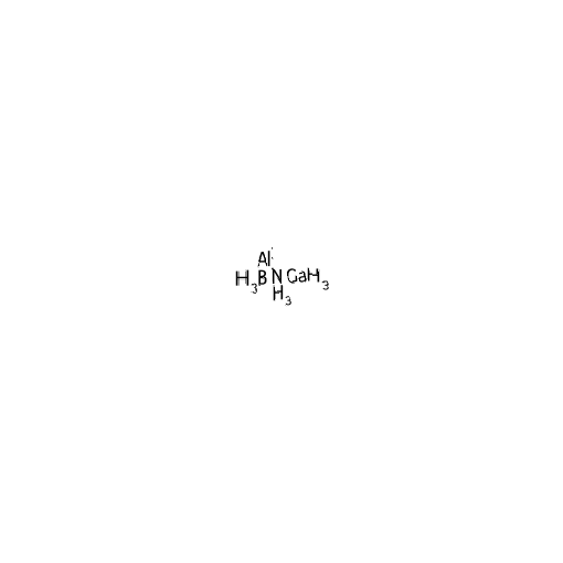 B.N.[Al].[GaH3]